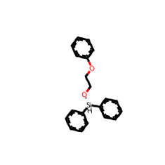 c1ccc(OCCO[SiH](c2ccccc2)c2ccccc2)cc1